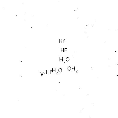 F.F.F.O.O.O.[V]